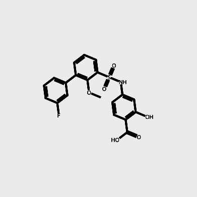 COc1c(-c2cccc(F)c2)cccc1S(=O)(=O)Nc1ccc(C(=O)O)c(O)c1